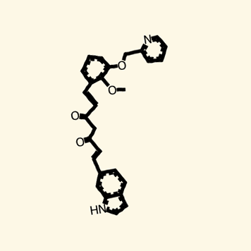 COc1c(/C=C/C(=O)CC(=O)/C=C/c2ccc3cc[nH]c3c2)cccc1OCc1ccccn1